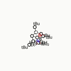 C=CC1=C(CC)N(C(=C)/C=C\CC)c2cc(-c3c(C4=CC(c5ccc(C(C)(C)C)cc5)CC(c5ccc(C(C)(C)C)cc5)=C4)cccc3-c3cc(-c4ccc(C(C)(C)C)cc4)cc(-c4ccc(C(C)(C)C)cc4)c3)cc3c2B1c1cc(C(C)(C)C)ccc1O3